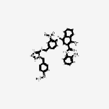 COc1ccc(Cn2nnnc2SCc2ccc(Oc3cc(C(=O)Nc4ccccc4C)c(O)c4ccccc34)c([N+](=O)[O-])c2)cc1